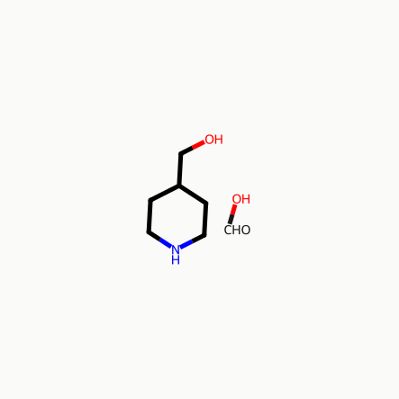 O=CO.OCC1CCNCC1